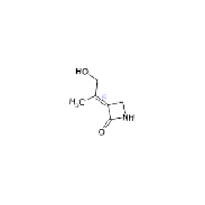 C/C(CO)=C1/CNC1=O